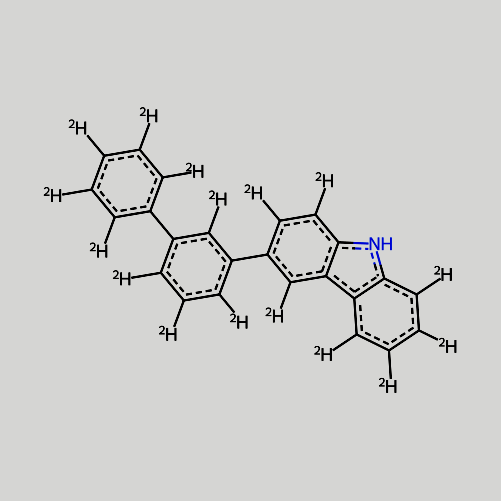 [2H]c1c([2H])c([2H])c(-c2c([2H])c([2H])c([2H])c(-c3c([2H])c([2H])c4[nH]c5c([2H])c([2H])c([2H])c([2H])c5c4c3[2H])c2[2H])c([2H])c1[2H]